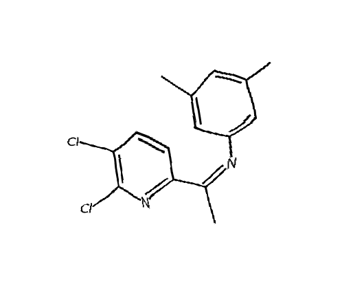 CC(=Nc1cc(C)cc(C)c1)c1ccc(Cl)c(Cl)n1